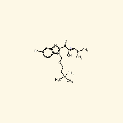 CN(C)/C=C(\C#N)C(=O)c1nc2cc(Br)ccc2n1COCC[Si](C)(C)C